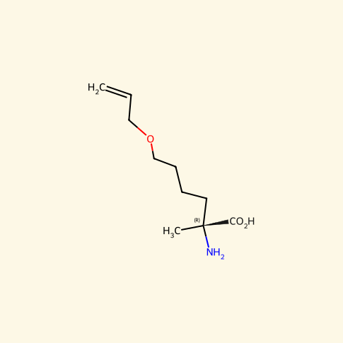 C=CCOCCCC[C@@](C)(N)C(=O)O